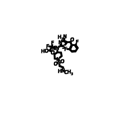 CNCCS(=O)(=O)N1CCC(Nc2nc(N)c(C(=O)c3c(F)cccc3F)s2)CC1.O=C(O)C(F)(F)F